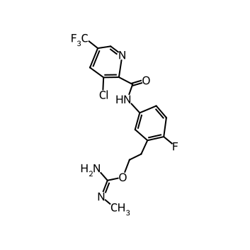 C/N=C(/N)OCCc1cc(NC(=O)c2ncc(C(F)(F)F)cc2Cl)ccc1F